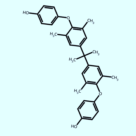 Cc1cc(C(C)(C)c2cc(C)c(Oc3ccc(O)cc3)c(C)c2)cc(C)c1Oc1ccc(O)cc1